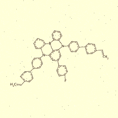 C=Cc1ccc(-c2ccc(N3c4ccccc4B4c5ccccc5N(c5ccc(-c6ccc(C=C)cc6)cc5)c5cc(-c6ccc(F)cc6)cc3c54)cc2)cc1